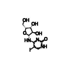 O=c1nc(N[C@@H]2O[C@H](CO)[C@H](O)[C@H]2O)c(I)c[nH]1